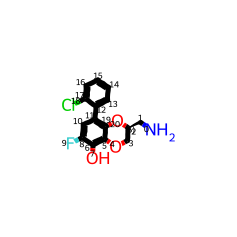 NC[C@H]1COc2c(O)c(F)cc(-c3ccccc3Cl)c2O1